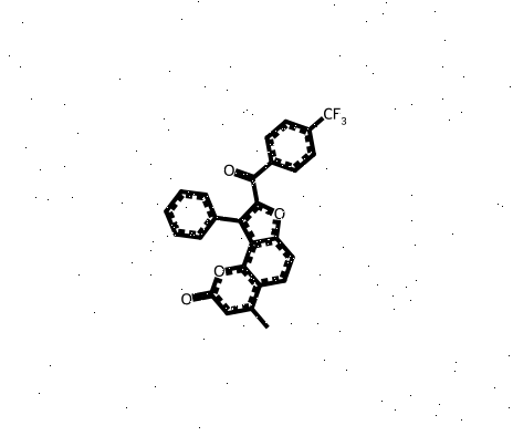 Cc1cc(=O)oc2c1ccc1oc(C(=O)c3ccc(C(F)(F)F)cc3)c(-c3ccccc3)c12